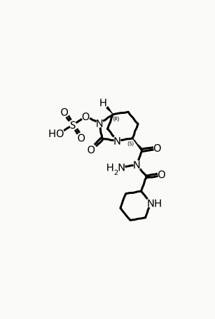 NN(C(=O)C1CCCCN1)C(=O)[C@@H]1CC[C@@H]2CN1C(=O)N2OS(=O)(=O)O